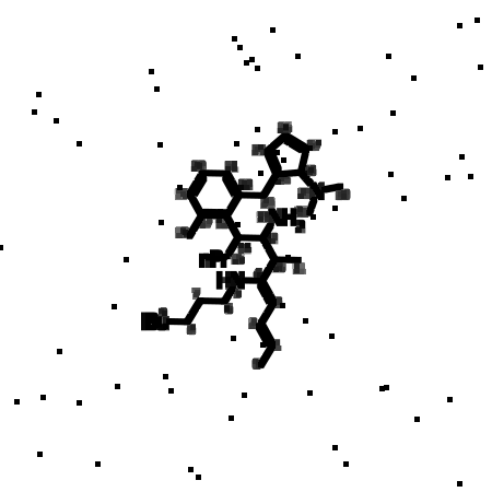 C/C=C/C=C(\NCCCC(C)CC)C(C)C(N)C(CCC)c1c(C)cccc1CC1=CC=CC1N(C)C